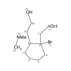 CCCCCCCCCC1(Br)CCCCC1CCO.CNC